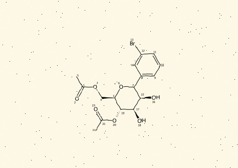 CC(=O)OC[C@H]1OC(c2cccc(Br)c2)[C@@H](O)[C@@H](O)[C@@H]1OC(C)=O